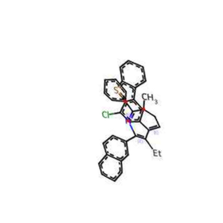 CCC1=C(c2ccc3ccccc3c2)/N=C(/c2ccccc2)C(C)C\C=C\1c1cc(Cl)c2sc3ccccc3c2c1